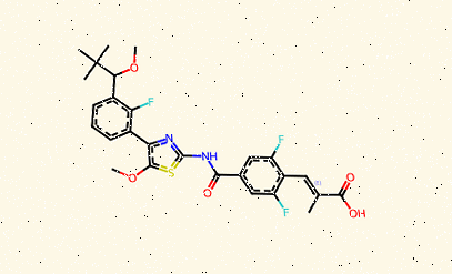 COc1sc(NC(=O)c2cc(F)c(/C=C(\C)C(=O)O)c(F)c2)nc1-c1cccc(C(OC)C(C)(C)C)c1F